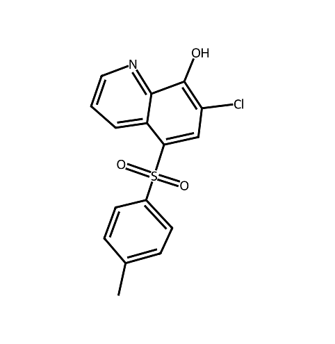 Cc1ccc(S(=O)(=O)c2cc(Cl)c(O)c3ncccc23)cc1